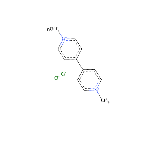 CCCCCCCC[n+]1ccc(-c2cc[n+](C)cc2)cc1.[Cl-].[Cl-]